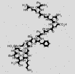 CC[C@H](C)[C@H](NC(=O)[C@H](Cc1ccccc1)NC(=O)[C@@H](NC(=O)CNC(=O)[C@H](CCC(=O)O)NC(=O)[C@H](CC(N)=O)NC(=O)CNC(=O)[C@H](CCCNC(=N)N)NC(=O)[C@@H](N)C(C)C)C(C)C)C(=O)N[C@@H](CCSC)C(=O)NCC(=O)N[C@@H](CCCCN)C(=O)N[C@H](C(=O)N[C@H](C(=O)N[C@@H](CCC(=O)O)C(=O)O)[C@@H](C)CC)[C@@H](C)O